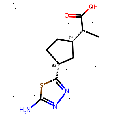 CC(C(=O)O)[C@H]1CC[C@@H](c2nnc(N)s2)C1